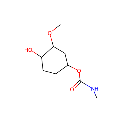 CNC(=O)OC1CCC(O)C(OC)C1